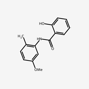 COc1ccc(C)c(NC(=O)c2c[c]ccc2O)c1